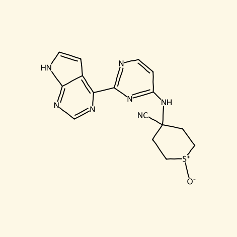 N#CC1(Nc2ccnc(-c3ncnc4[nH]ccc34)n2)CC[S+]([O-])CC1